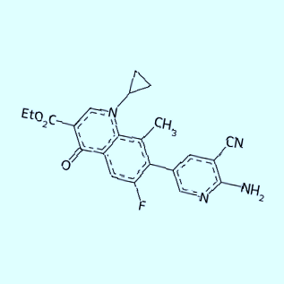 CCOC(=O)c1cn(C2CC2)c2c(C)c(-c3cnc(N)c(C#N)c3)c(F)cc2c1=O